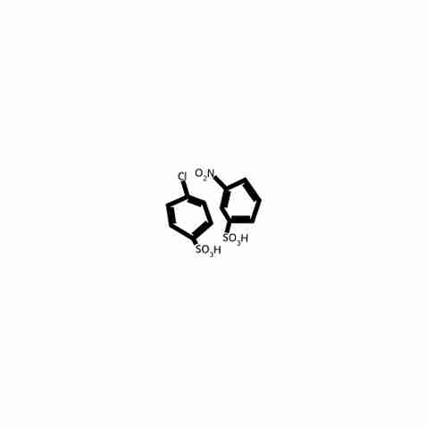 O=S(=O)(O)c1ccc(Cl)cc1.O=[N+]([O-])c1cccc(S(=O)(=O)O)c1